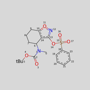 CN(C(=O)OC(C)(C)C)C1CCCc2onc(OS(=O)(=O)c3ccccc3)c21